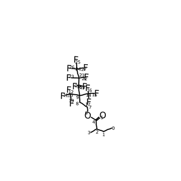 CCC(C)C(=O)OCCC(C(F)(F)F)(C(F)(F)F)C(F)(F)C(F)(F)C(F)(F)F